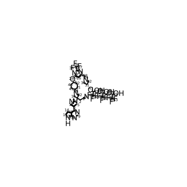 N#CCC1(n2cc(-c3ncnc4[nH]ccc34)cn2)CN([C@H]2CC[C@@H](Oc3cc(CN4CCC4)nc(C(F)(F)F)n3)CC2)C1.O=C(O)C(F)(F)F.O=C(O)C(F)(F)F.O=C(O)C(F)(F)F